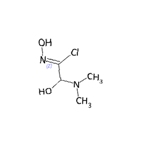 CN(C)C(O)/C(Cl)=N/O